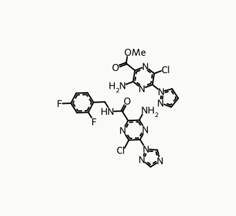 COC(=O)c1nc(Cl)c(-n2cccn2)nc1N.Nc1nc(-n2cncn2)c(Cl)nc1C(=O)NCc1ccc(F)cc1F